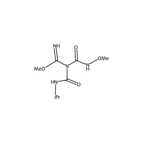 CONC(=O)N(C(=N)OC)C(=O)NC(C)C